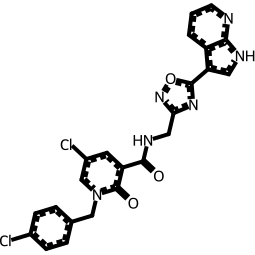 O=C(NCc1noc(-c2c[nH]c3ncccc23)n1)c1cc(Cl)cn(Cc2ccc(Cl)cc2)c1=O